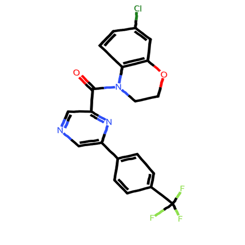 O=C(c1cncc(-c2ccc(C(F)(F)F)cc2)n1)N1CCOc2cc(Cl)ccc21